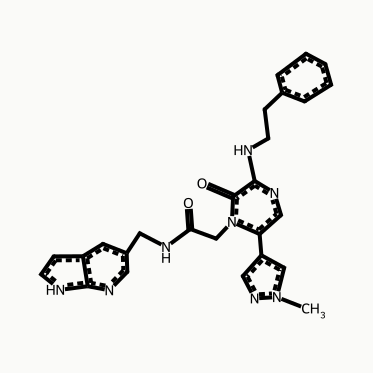 Cn1cc(-c2cnc(NCCc3ccccc3)c(=O)n2CC(=O)NCc2cnc3[nH]ccc3c2)cn1